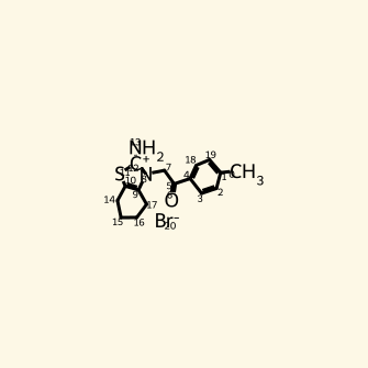 Cc1ccc(C(=O)Cn2c3c(s[c+]2N)CCCC3)cc1.[Br-]